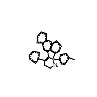 Cc1ccc([B-]2(c3ccccc3)C(c3ccc4ccccc4c3)=C(c3ccccc3)CC[O+]2C)cc1